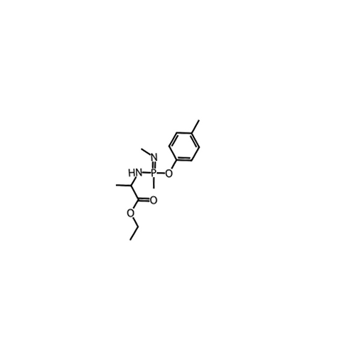 CCOC(=O)C(C)NP(C)(=NC)Oc1ccc(C)cc1